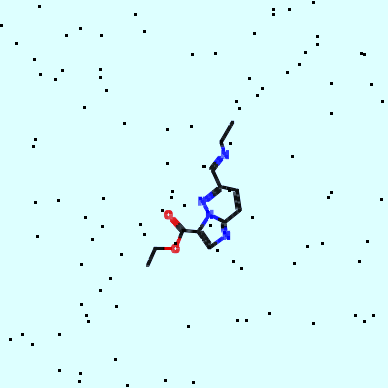 CCN=Cc1ccc2ncc(C(=O)OCC)n2n1